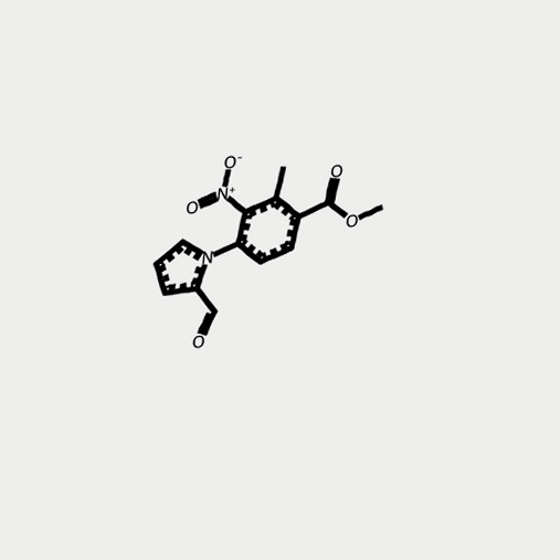 COC(=O)c1ccc(-n2cccc2C=O)c([N+](=O)[O-])c1C